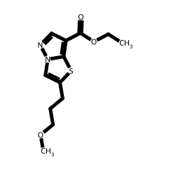 CCOC(=O)c1cnn2cc(CCCOC)sc12